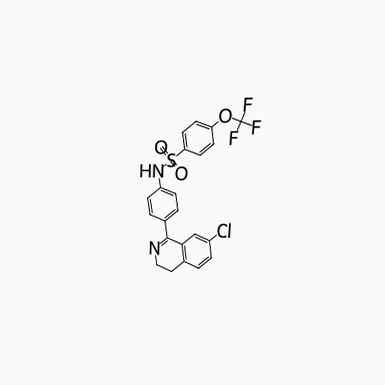 O=S(=O)(Nc1ccc(C2=NCCc3ccc(Cl)cc32)cc1)c1ccc(OC(F)(F)F)cc1